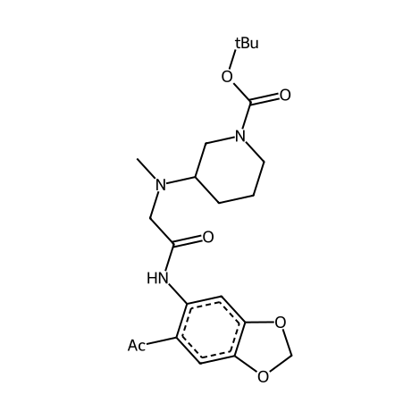 CC(=O)c1cc2c(cc1NC(=O)CN(C)C1CCCN(C(=O)OC(C)(C)C)C1)OCO2